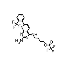 Nc1nc(NCCCCOC(=O)C(F)(F)F)c2ccc(-c3ccccc3C(F)(F)F)nc2n1